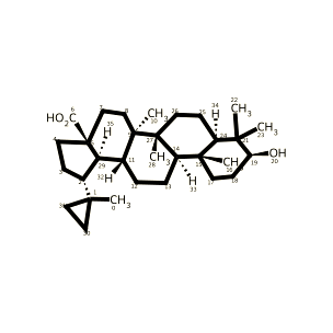 CC1([C@@H]2CC[C@]3(C(=O)O)CC[C@]4(C)[C@H](CC[C@@H]5[C@@]6(C)CC[C@H](O)C(C)(C)[C@@H]6CC[C@]54C)[C@@H]23)CC1